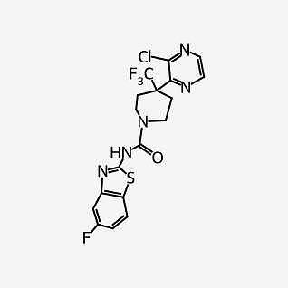 O=C(Nc1nc2cc(F)ccc2s1)N1CCC(c2nccnc2Cl)(C(F)(F)F)CC1